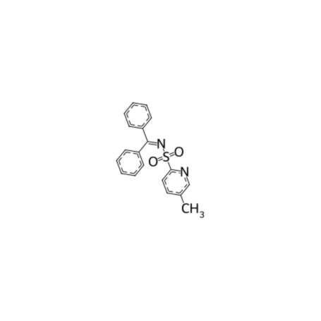 Cc1ccc(S(=O)(=O)N=C(c2ccccc2)c2ccccc2)nc1